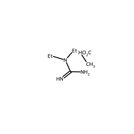 CC(=O)O.CCN(CC)C(=N)N